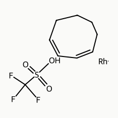 C1=CCCCCC=C1.O=S(=O)(O)C(F)(F)F.[Rh]